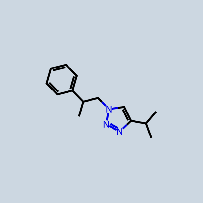 CC(C)c1cn(CC(C)c2ccccc2)nn1